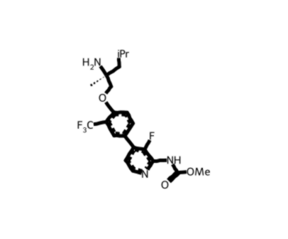 COC(=O)Nc1nccc(-c2ccc(OC[C@@](C)(N)CC(C)C)c(C(F)(F)F)c2)c1F